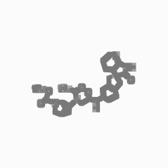 CC(C)(C)OC(=O)N1CC2CC1C(N(CC(=O)Nc1ccc3c(c1)C[C@@]1(C3)C(=O)Nc3ncccc31)C(=O)C(C)(C)C)C2